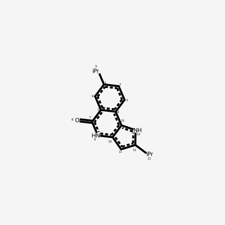 CC(C)c1ccc2c(c1)c(=O)[nH]c1cc(C(C)C)[nH]c12